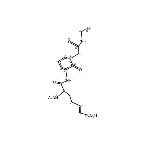 CC(=O)NC(CCC=CC(=O)O)C(=O)Nc1cccn(CC(=O)NCC(C)C)c1=O